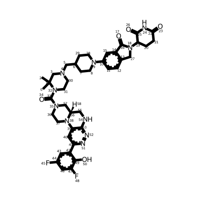 CC1(C)CN(CC2CCN(c3ccc4c(c3)C(=O)N(C3CCC(=O)NC3=O)C4)CC2)CCN1C(=O)N1CCN2c3cc(-c4cc(F)cc(F)c4O)nnc3NC[C@H]2C1